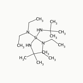 CCN(CC)[Si](NC(C)(C)C)(NC(C)(C)C)N(CC)CC